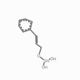 O[SiH](O)OCC=Cc1ccccc1